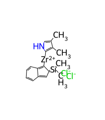 Cc1c[nH][c]([Zr+2][C]2=c3ccccc3=CC2=[Si](C)C)c1C.[Cl-].[Cl-]